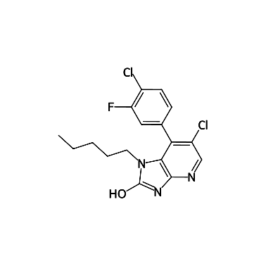 CCCCCn1c(O)nc2ncc(Cl)c(-c3ccc(Cl)c(F)c3)c21